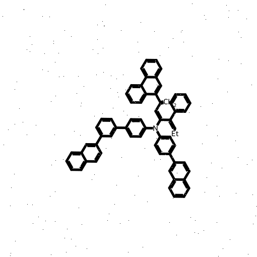 C=C(/C=C(\C(=C/CC)c1ccccc1)N(c1ccc(-c2cccc(-c3ccc4ccccc4c3)c2)cc1)c1ccc(-c2ccc3ccccc3c2)cc1)c1cc2ccccc2c2ccccc12